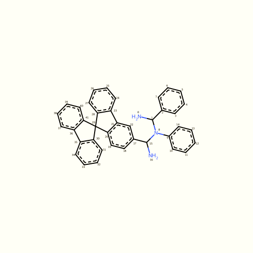 NC(c1ccccc1)N(c1ccccc1)C(N)c1ccc2c(c1)-c1ccccc1C21c2ccccc2-c2ccccc21